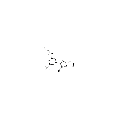 CCCS(=O)(=O)c1cc(-c2cn(CC(=O)O)cc2C#N)cc(C(F)(F)F)c1